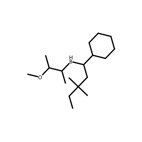 CCC(C)(C)CC(BC(C)C(C)OC)C1CCCCC1